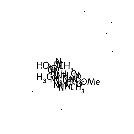 COC(=O)c1ccn(C)c1N=Nc1c(C)nn(-c2cc(-n3nc(C)c(N=Nc4c(C(=O)CO)cnn4C)c3N)ncn2)c1N